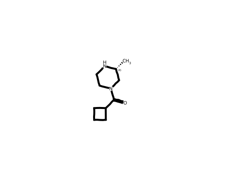 C[C@@H]1CN(C(=O)C2CCC2)CCN1